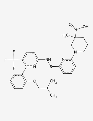 CC(C)COc1ccccc1-c1nc(NSc2cccc(N3CCCC(C)(C(=O)O)C3)n2)ccc1C(F)(F)F